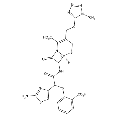 Cn1nnnc1SCC1=C(C(=O)O)N2C(=O)C(NC(=O)C(Sc3ccccc3C(=O)O)c3csc(N)n3)[C@@H]2SC1